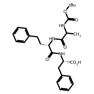 CC(NC(=O)OC(C)(C)C)C(=O)N[C@@H](CCc1ccccc1)C(=O)N[C@@H](Cc1ccccc1)C(=O)O